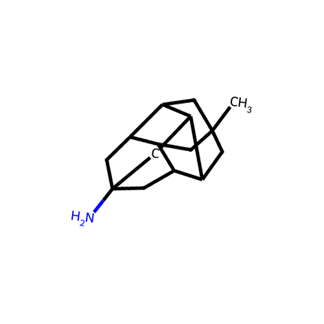 CC12CC3C4CC5(N)CC3C(C1)C(C5)C4C2